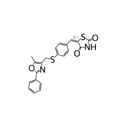 Cc1oc(-c2ccccc2)nc1CSc1ccc(/C=C2/SC(=O)NC2=O)cc1